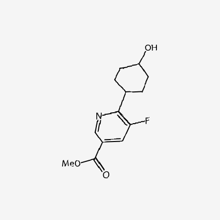 COC(=O)c1cnc(C2CCC(O)CC2)c(F)c1